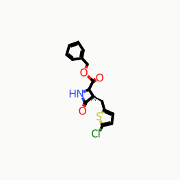 O=C(OCc1ccccc1)C1NC(=O)[C@@H]1Cc1ccc(Cl)s1